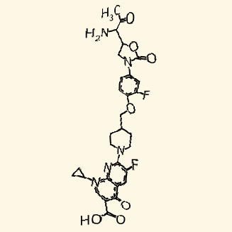 CC(=O)C(N)C1CN(c2ccc(OCC3CCN(c4nc5c(cc4F)c(=O)c(C(=O)O)cn5C4CC4)CC3)c(F)c2)C(=O)O1